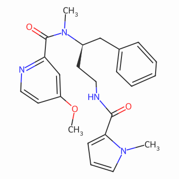 COc1ccnc(C(=O)N(C)[C@H](CCNC(=O)c2cccn2C)Cc2ccccc2)c1